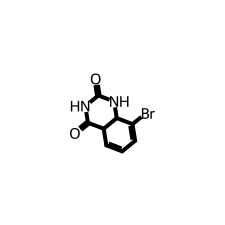 O=C1NC(=O)C2C=CC=C(Br)C2N1